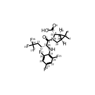 CC1(C)[C@@H]2[C@@H](C(=O)O)N(C(=O)[C@@H](CCC(F)(F)F)Nc3c(F)cc(F)cc3F)C[C@@H]21